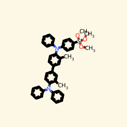 CO[Si](OC)(OC)c1ccc(N(c2ccccc2)c2ccc(-c3ccc(N(c4ccccc4)c4ccccc4)c(C)c3)cc2C)cc1